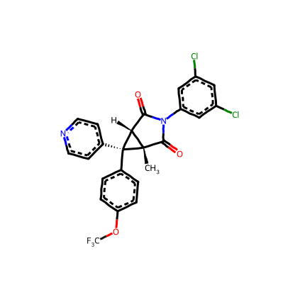 C[C@]12C(=O)N(c3cc(Cl)cc(Cl)c3)C(=O)[C@H]1[C@]2(c1ccncc1)c1ccc(OC(F)(F)F)cc1